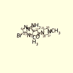 Cc1nc2c(Br)cnn2c(N)c1CC(=O)N1CCN(C)CC1